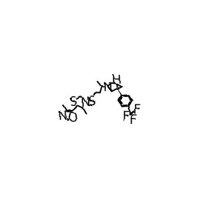 Cc1ncoc1C1SCN(SCCC(C)N2C[C@@H]3C[C@]3(c3ccc(C(F)(F)F)cc3)C2)C1C